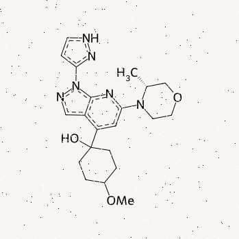 COC1CCC(O)(c2cc(N3CCOC[C@H]3C)nc3c2cnn3-c2cc[nH]n2)CC1